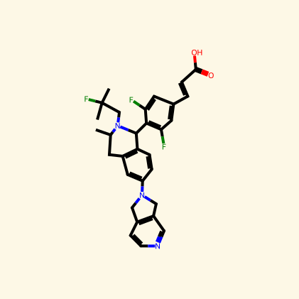 CC1Cc2cc(N3Cc4ccncc4C3)ccc2C(c2c(F)cc(/C=C/C(=O)O)cc2F)N1CC(C)(C)F